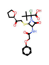 CC(C)(C)[C@](Cl)(C(=O)O)N1C(=O)[C@@H](NC(=O)COc2ccccc2)[C@H]1SCC(=O)[C@H]1CCCO1